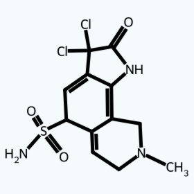 CN1CC=C2C(=C3NC(=O)C(Cl)(Cl)C3=CC2S(N)(=O)=O)C1